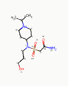 CC(C)N1CCC(N(CCCO)S(=O)(=O)CC(N)=O)CC1